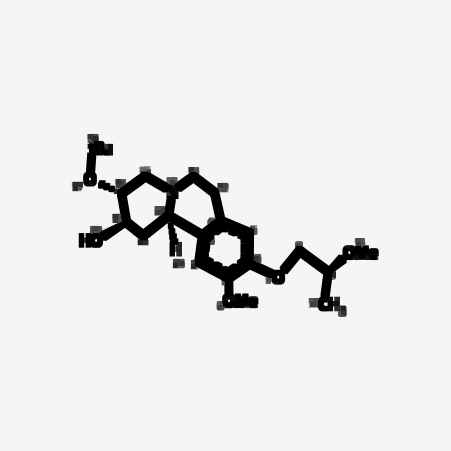 COc1cc2c(cc1OC[C@H](C)OC)CCN1C[C@@H](OC(C)(C)C)[C@H](O)C[C@H]21